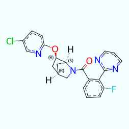 O=C(c1cccc(F)c1-c1ncccn1)N1C[C@H]2C[C@@H](Oc3ccc(Cl)cn3)[C@@H]1C2